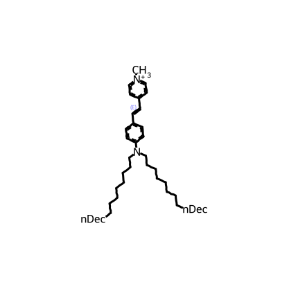 CCCCCCCCCCCCCCCCCCN(CCCCCCCCCCCCCCCCCC)c1ccc(/C=C/c2cc[n+](C)cc2)cc1